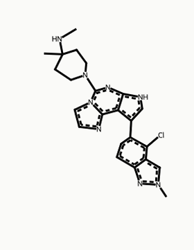 CNC1(C)CCN(c2nc3[nH]cc(-c4ccc5nn(C)cc5c4Cl)c3c3nccn23)CC1